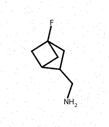 NCC1CC2(F)CC1C2